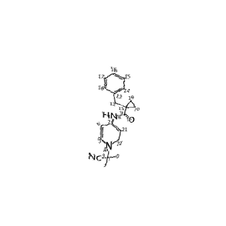 CC(C)(C#N)N1C=CC(NC(=O)C2(Cc3ccccc3)CC2)=CC1